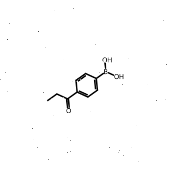 CCC(=O)c1ccc(B(O)O)cc1